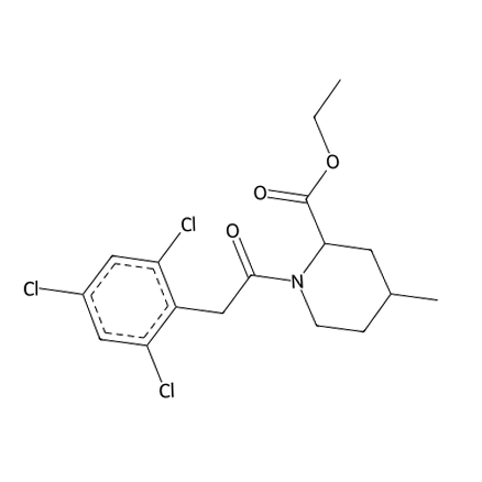 CCOC(=O)C1CC(C)CCN1C(=O)Cc1c(Cl)cc(Cl)cc1Cl